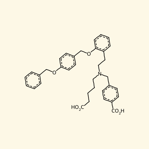 O=C(O)CCCCN(CCc1ccccc1OCc1ccc(OCc2ccccc2)cc1)Cc1ccc(C(=O)O)cc1